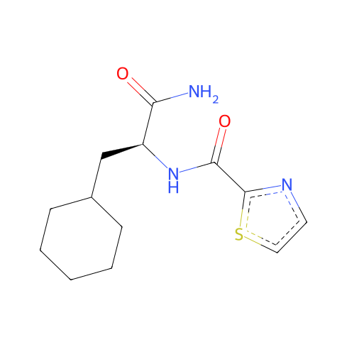 NC(=O)[C@H](CC1CCCCC1)NC(=O)c1nccs1